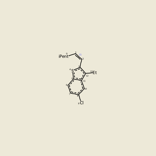 CCCC(C)/C=C\c1sc2ccc(Cl)cc2c1CC